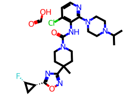 CC(C)N1CCN(c2nccc(Cl)c2NC(=O)N2CCC(C)(c3noc([C@@H]4C[C@@H]4F)n3)CC2)CC1.O=CO